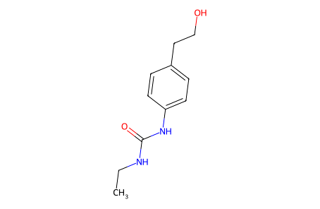 CCNC(=O)Nc1ccc(CCO)cc1